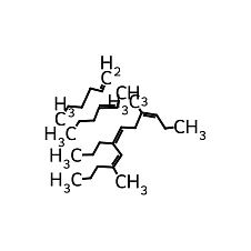 C=CCCCC.CC=CCCC.CCC=C(C)CC=C(C=C(C)CCC)CCC